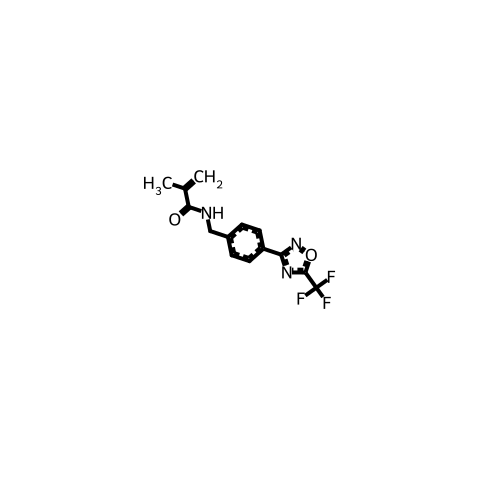 C=C(C)C(=O)NCc1ccc(-c2noc(C(F)(F)F)n2)cc1